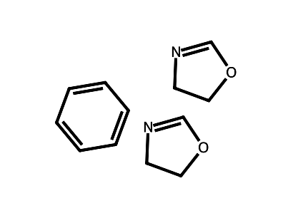 C1=NCCO1.C1=NCCO1.c1ccccc1